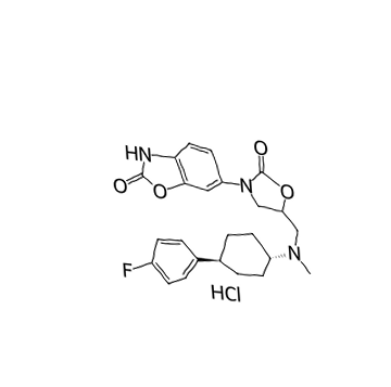 CN(CC1CN(c2ccc3[nH]c(=O)oc3c2)C(=O)O1)[C@H]1CC[C@H](c2ccc(F)cc2)CC1.Cl